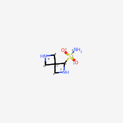 NS(=O)(=O)C1NCC12CNC2